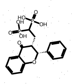 O=C1c2ccccc2O[C@@H](c2ccccc2)[C@H]1CC(P(=O)(O)O)P(=O)(O)O